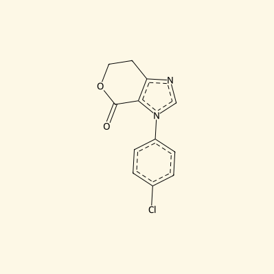 O=C1OCCc2ncn(-c3ccc(Cl)cc3)c21